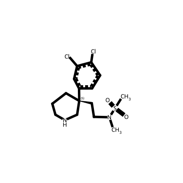 CN(CC[C@]1(c2ccc(Cl)c(Cl)c2)CCCNC1)S(C)(=O)=O